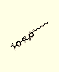 CCCCCCCCOc1ccc(Nc2nc(-c3ccc(C(=O)N(C)C)nc3)cs2)cn1